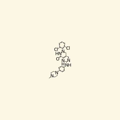 CN1CCN(c2ccc(NC3N=CC4=C(N3)C(=O)NN(c3c(Cl)cccc3Cl)C4)cc2)CC1